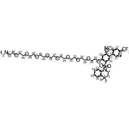 CC1(C)CCN(S(=O)(=O)c2cc(-c3cnc(C(F)(F)F)cc3C#N)c(Cl)cc2OCCOCCOCCOCCOCCOCCOCCOCCOCCN)c2ccccc21